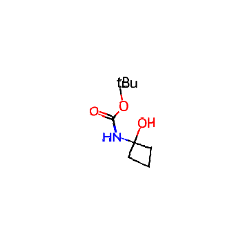 CC(C)(C)OC(=O)NC1(O)CCC1